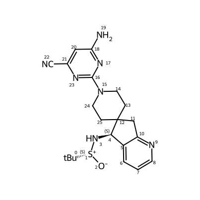 CC(C)(C)[S@@+]([O-])N[C@@H]1c2cccnc2CC12CCN(c1nc(N)cc(C#N)n1)CC2